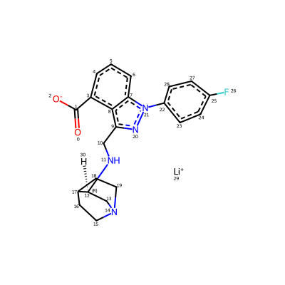 O=C([O-])c1cccc2c1c(CN[C@H]1CN3CCC1CC3)nn2-c1ccc(F)cc1.[Li+]